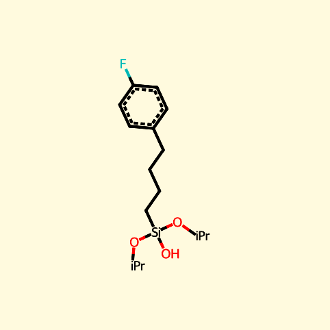 CC(C)O[Si](O)(CCCCc1ccc(F)cc1)OC(C)C